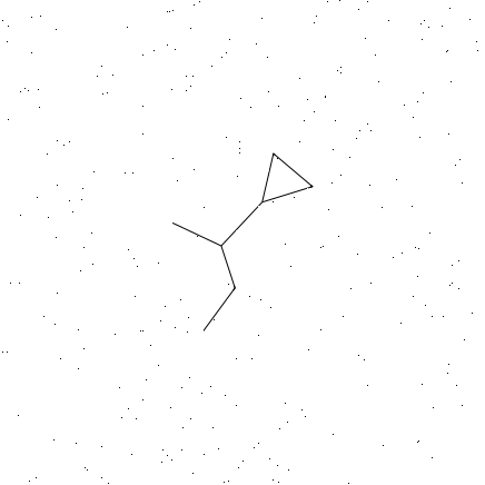 CCC(C)C1CC1